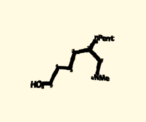 CCCCCC(CCCCO)CNC